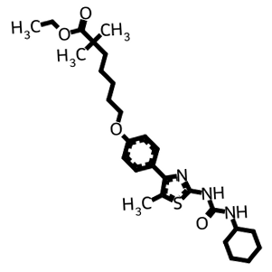 CCOC(=O)C(C)(C)CCCCCOc1ccc(-c2nc(NC(=O)NC3CCCCC3)sc2C)cc1